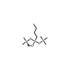 CO[Si](CCCI)(O[Si](C)(C)C)O[Si](C)(C)C